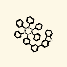 c1ccc(B2N(c3ccccc3)B(c3ccccc3)N(c3ccccc3)B(c3cccc(-c4cccc(-c5ccc6oc7ccccc7c6c5)c4)c3)N2c2ccccc2)cc1